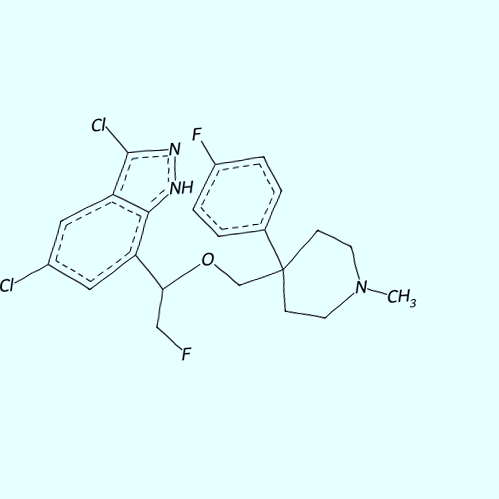 CN1CCC(COC(CF)c2cc(Cl)cc3c(Cl)n[nH]c23)(c2ccc(F)cc2)CC1